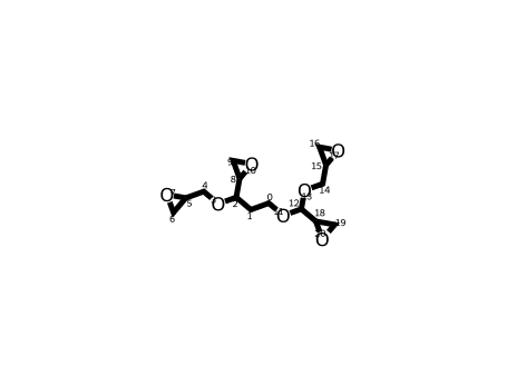 C(CC(OCC1CO1)C1CO1)OC(OCC1CO1)C1CO1